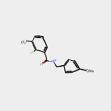 COc1ccc(CNC(=O)c2cccc([N+](=O)[O-])c2F)cc1